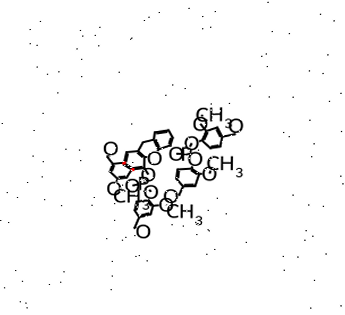 COc1cc(C=O)ccc1OP(Oc1ccc(C=O)cc1OC)Oc1cccc2c1Oc1c(cccc1OP(Oc1ccc(C=O)cc1OC)Oc1ccc(C=O)cc1OC)C2